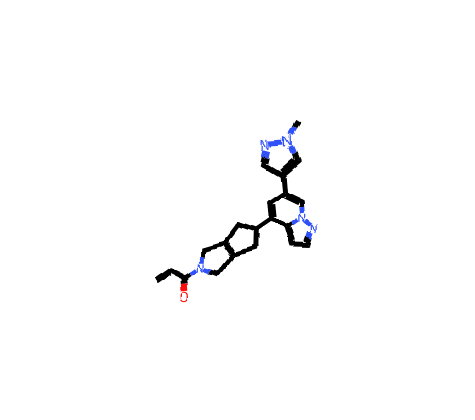 C=CC(=O)N1CC2CC(c3cc(-c4cnn(C)c4)cn4nccc34)CC2C1